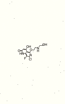 O=c1cc(O)c2c(OCCNCCO)nc(Cl)c(F)c2[nH]1